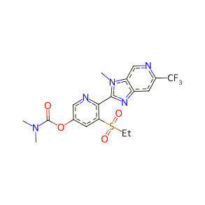 CCS(=O)(=O)c1cc(OC(=O)N(C)C)cnc1-c1nc2cc(C(F)(F)F)ncc2n1C